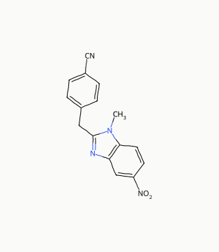 Cn1c(Cc2ccc(C#N)cc2)nc2cc([N+](=O)[O-])ccc21